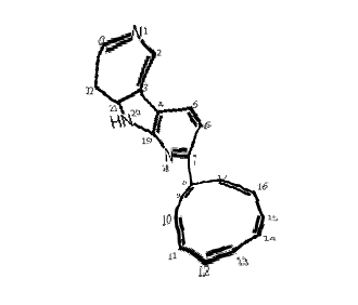 C1=NC=C2c3ccc(-c4ccccccccc4)nc3NC2C1